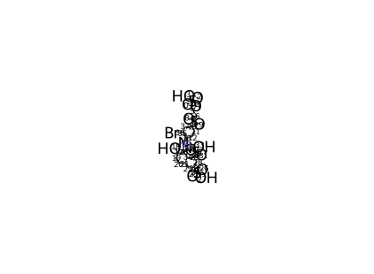 O=S(=O)(O)OCCS(=O)(=O)c1ccc(/N=N/c2c(O)ccc3cc(S(=O)(=O)O)cc(S(=O)(=O)O)c23)c(Br)c1